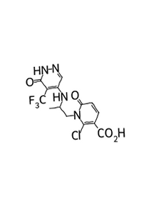 CC(Cn1c(Cl)c(C(=O)O)ccc1=O)Nc1cn[nH]c(=O)c1C(F)(F)F